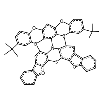 CC(C)(C)c1ccc2c(c1)B1c3cc4c(oc5ccccc54)c4c3N3c5c1c(cc1c5B(c5cc(C(C)(C)C)ccc5O1)c1cc5c(oc6ccccc65)c(c13)S4)O2